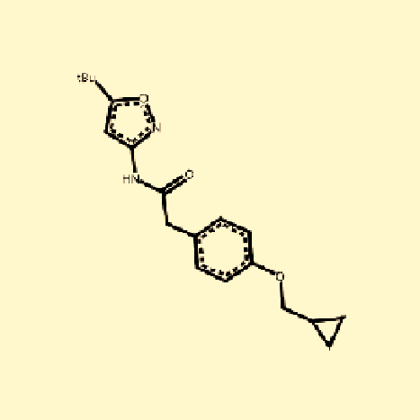 CC(C)(C)c1cc(NC(=O)Cc2ccc(OCC3CC3)cc2)no1